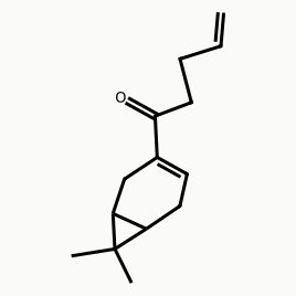 C=CCCC(=O)C1=CCC2C(C1)C2(C)C